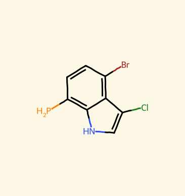 Pc1ccc(Br)c2c(Cl)c[nH]c12